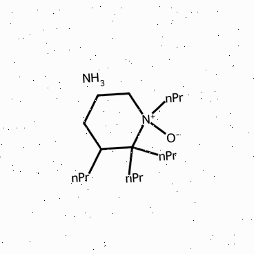 CCCC1CCC[N+]([O-])(CCC)C1(CCC)CCC.N